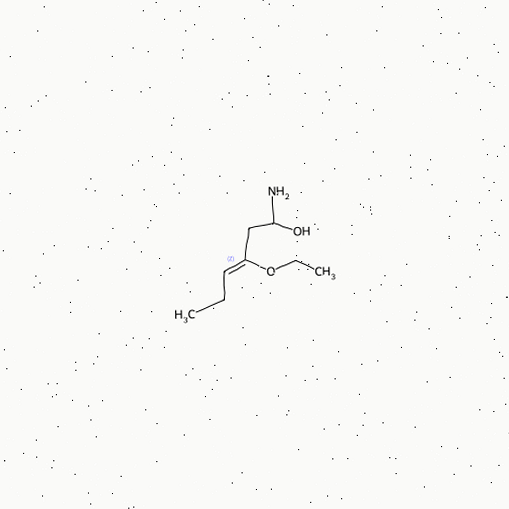 CC/C=C(/CC(N)O)OCC